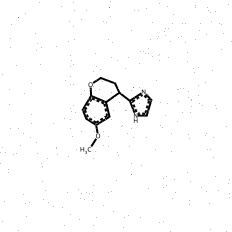 COc1ccc2c(c1)C(c1ncc[nH]1)CCO2